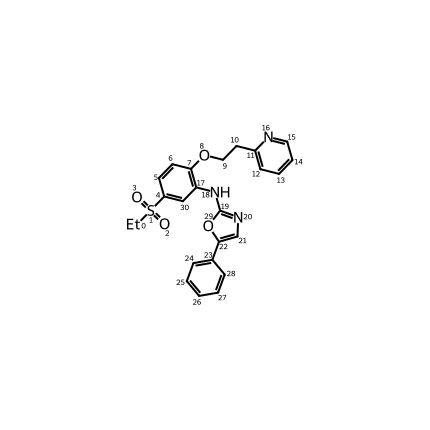 CCS(=O)(=O)c1ccc(OCCc2ccccn2)c(Nc2ncc(-c3ccccc3)o2)c1